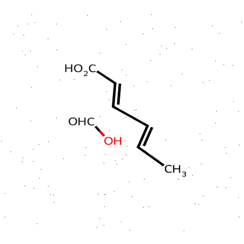 C/C=C/C=C/C(=O)O.O=CO